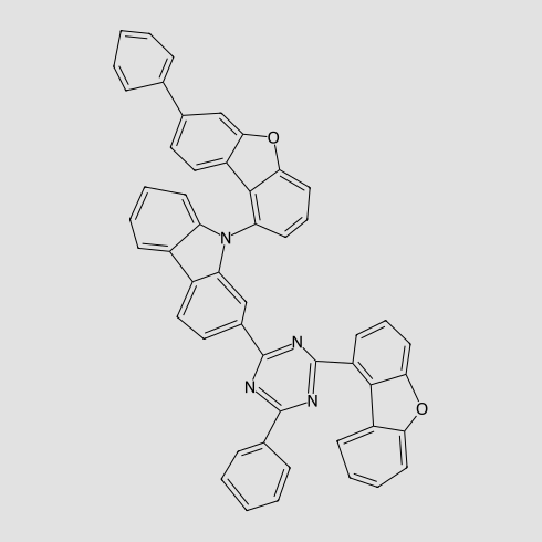 c1ccc(-c2ccc3c(c2)oc2cccc(-n4c5ccccc5c5ccc(-c6nc(-c7ccccc7)nc(-c7cccc8oc9ccccc9c78)n6)cc54)c23)cc1